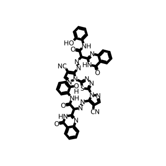 N#Cc1cnn(-c2nnc(-n3ncc(C#N)c3N=NC(C(=O)Nc3ccccc3O)c3nc4ccccc4c(=O)[nH]3)s2)c1N=NC(C(=O)Nc1ccccc1O)c1nc2ccccc2c(=O)[nH]1